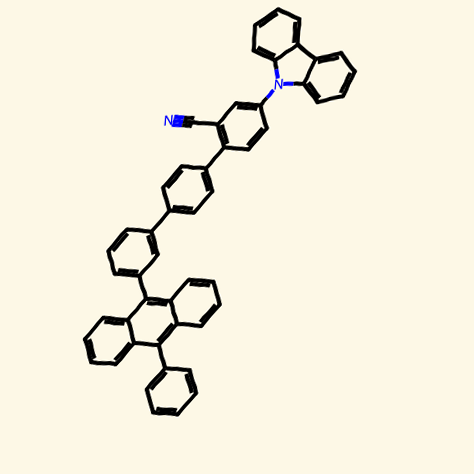 N#Cc1cc(-n2c3ccccc3c3ccccc32)ccc1-c1ccc(-c2cccc(-c3c4ccccc4c(-c4ccccc4)c4ccccc34)c2)cc1